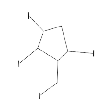 ICC1C(I)CC(I)C1I